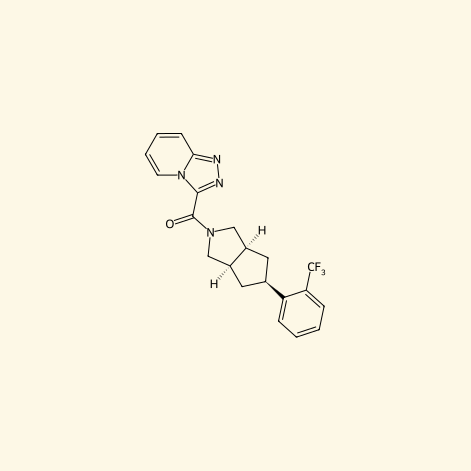 O=C(c1nnc2ccccn12)N1C[C@H]2C[C@@H](c3ccccc3C(F)(F)F)C[C@H]2C1